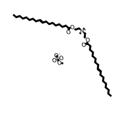 CCCCCCCCC=CCCCCCCCC(=O)OCC[N+](C)(C)CCOC(=O)CCCCCCCC=CCCCCCCCC.COS(=O)(=O)[O-]